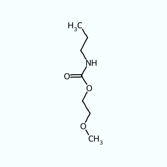 CCCNC(=O)OCCOC